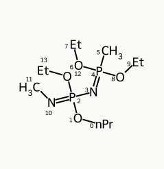 CCCOP(N=P(C)(OCC)OCC)(=NC)OCC